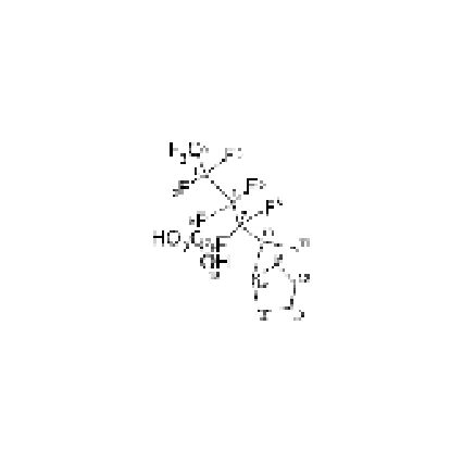 FC(F)(F)C(F)(F)C(F)(F)C(F)(F)C1CC2CCC1C2.O=C(O)O